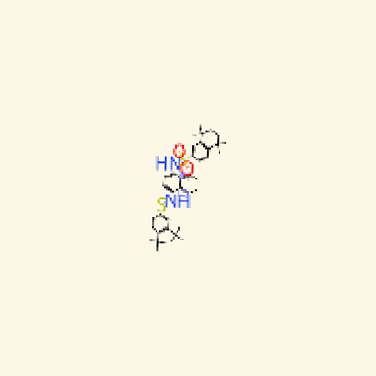 C/C=c1/c(NSc2ccc(C(C)(C)C)c(C(C)(C)C)c2)ccc(NS(=O)(=O)c2ccc3c(c2)C(C)(C)CCC3(C)C)/c1=C/C